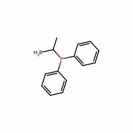 BC(C)P(c1ccccc1)c1ccccc1